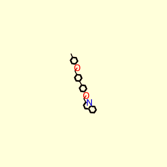 Cc1ccc(OCc2ccc(-c3ccc(OCc4ccc5ccccc5n4)cc3)cc2)cc1